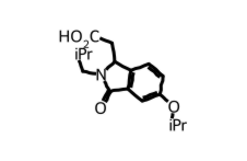 CC(C)CN1C(=O)c2cc(OC(C)C)ccc2C1CC(=O)O